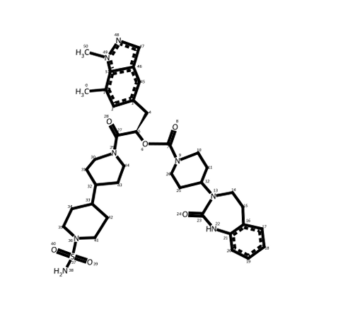 Cc1cc(C[C@@H](OC(=O)N2CCC(N3CCc4ccccc4NC3=O)CC2)C(=O)N2CCC(C3CCN(S(N)(=O)=O)CC3)CC2)cc2cnn(C)c12